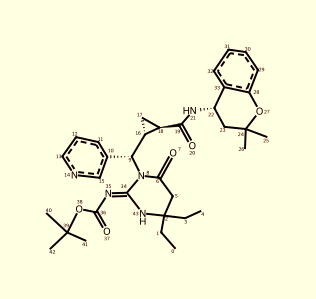 CCC1(CC)CC(=O)N([C@H](c2cccnc2)[C@@H]2C[C@H]2C(=O)N[C@H]2CC(C)(C)Oc3ccccc32)C(=NC(=O)OC(C)(C)C)N1